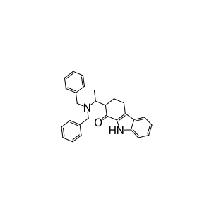 CC(C1CCc2c([nH]c3ccccc23)C1=O)N(Cc1ccccc1)Cc1ccccc1